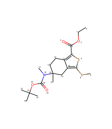 CCOC(=O)c1sc(SC)c2c1CCC(C)(N(C)C(=O)OC(C)(C)C)C2